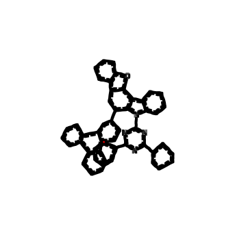 c1ccc(-c2nc(-c3ccccc3)nc(-n3c4ccccc4c4c5oc6ccccc6c5cc(-c5ccc6c7ccccc7c7ccccc7c6c5)c43)n2)cc1